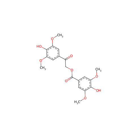 COc1cc(C(=O)COC(=O)c2cc(OC)c(O)c(OC)c2)cc(OC)c1O